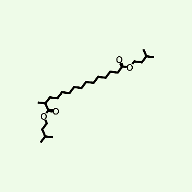 CC(C)CCOC(=O)CCCCCCCCCCCCC(C)C(=O)OCCC(C)C